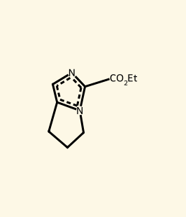 CCOC(=O)c1ncc2n1CCC2